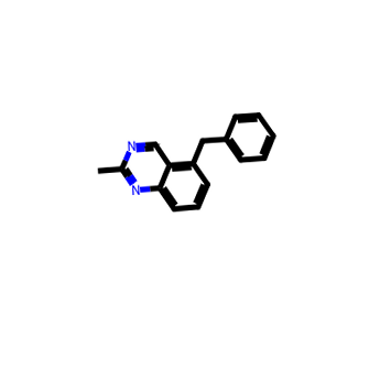 Cc1n[c]c2c(Cc3ccccc3)cccc2n1